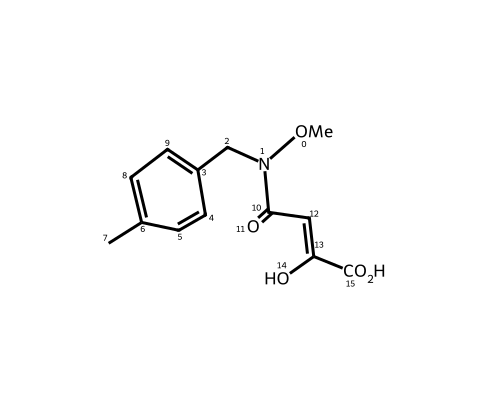 CON(Cc1ccc(C)cc1)C(=O)C=C(O)C(=O)O